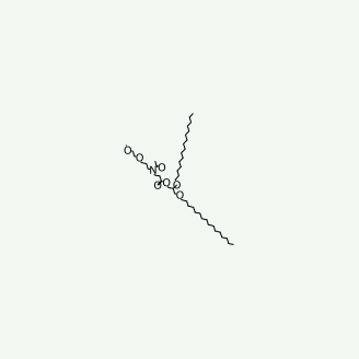 CCCCCCCCCCCCCCCCOCC(COC(=O)CCN(CCCOCCOC)C(C)=O)OCCCCCCCCCCCCCCCC